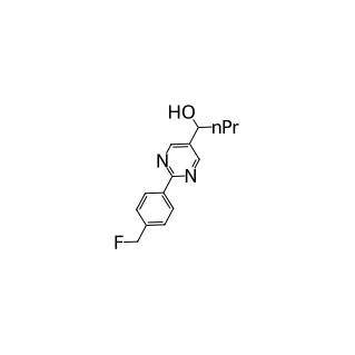 CCCC(O)c1cnc(-c2ccc(CF)cc2)nc1